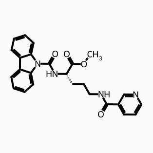 COC(=O)[C@H](CCCNC(=O)c1cccnc1)NC(=O)n1c2ccccc2c2ccccc21